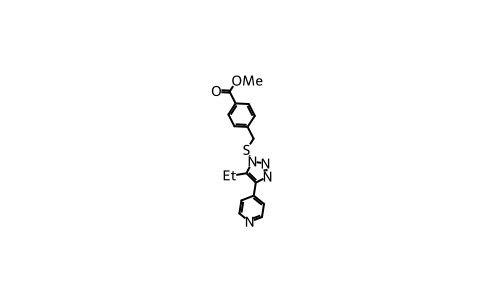 CCc1c(-c2ccncc2)nnn1SCc1ccc(C(=O)OC)cc1